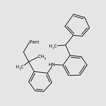 CCCC(C)CC(C)(C)c1ccccc1Nc1ccccc1C(C)c1ccccc1